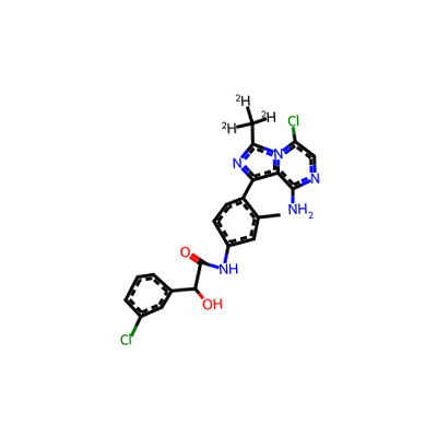 [2H]C([2H])([2H])c1nc(-c2ccc(NC(=O)C(O)c3cccc(Cl)c3)cc2C)c2c(N)ncc(Cl)n12